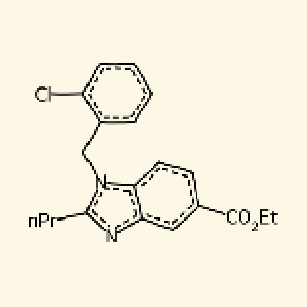 CCCc1nc2cc(C(=O)OCC)ccc2n1Cc1ccccc1Cl